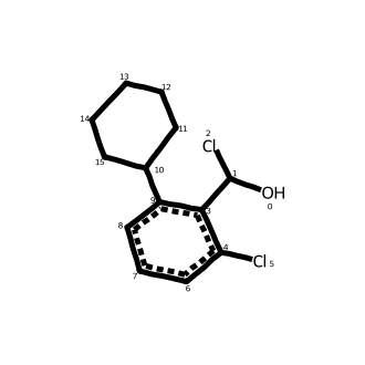 OC(Cl)c1c(Cl)cccc1C1CCCCC1